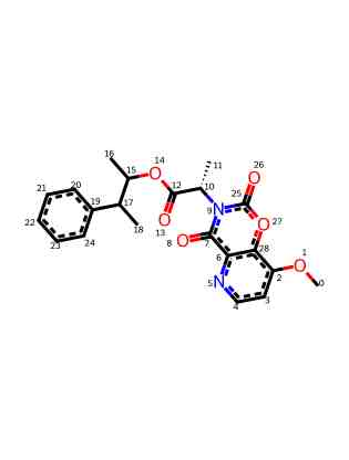 COc1ccnc2c(=O)n([C@@H](C)C(=O)OC(C)C(C)c3ccccc3)c(=O)oc12